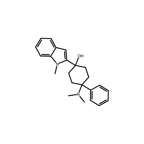 CN(C)C1(c2ccccc2)CCC(O)(c2cc3ccccc3n2C)CC1